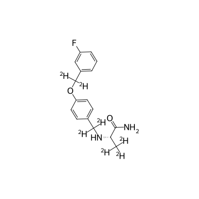 [2H]C([2H])(N[C@H](C(N)=O)C([2H])([2H])[2H])c1ccc(OC([2H])([2H])c2cccc(F)c2)cc1